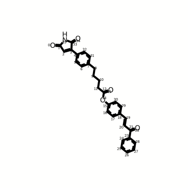 O=C1C=C(c2ccc(CCCCC(=O)Oc3ccc(C=CC(=O)c4ccccc4)cc3)cc2)C(=O)N1